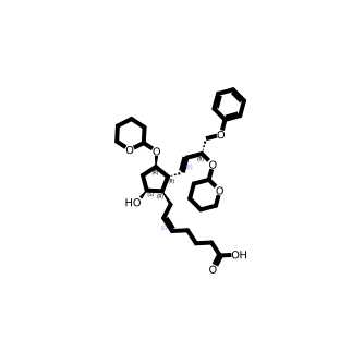 O=C(O)CCC/C=C\C[C@@H]1[C@@H](/C=C/[C@H](COc2ccccc2)OC2CCCCO2)[C@H](OC2CCCCO2)C[C@@H]1O